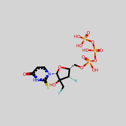 O=c1ccn([C@@H]2O[C@H](COP(=O)(O)OP(=O)(O)OP(=O)(O)O)[C@H](F)C2(O)CF)c(=S)[nH]1